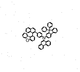 c1ccc(C2(c3ccccc3)c3ccccc3-c3ccc(N(c4ccc(-c5ccc6ccccc6c5-c5cccc6oc7ccccc7c56)cc4)c4cc5ccccc5c5ccccc45)cc32)cc1